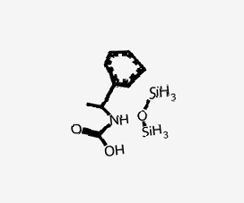 CC(NC(=O)O)c1ccccc1.[SiH3]O[SiH3]